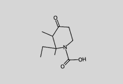 CCC1(C)C(C)C(=O)CCN1C(=O)O